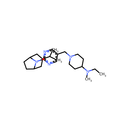 CCN(C)C1CCN(Cc2cnc(N3C4CCC3CC(C(C)C)C4)nc2)CC1